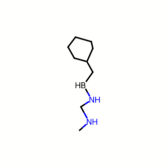 CNCNBCC1CCCCC1